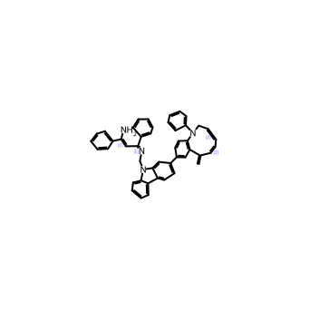 C=C1/C=C\C=C/CN(c2ccccc2)c2ccc(-c3ccc4c5ccccc5n(C/N=C(\C=C(/N)c5ccccc5)c5ccccc5)c4c3)cc21